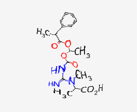 CC(OC(=O)NC(=N)N(C)C(C)C(=O)O)OC(=O)C(C)c1ccccc1